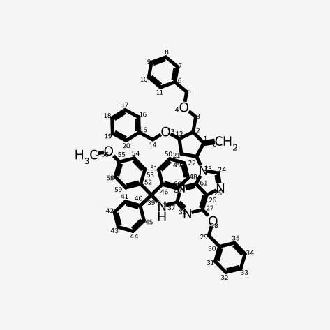 C=C1C(COCc2ccccc2)C(OCc2ccccc2)CC1n1cnc2c(OCc3ccccc3)nc(NC(c3ccccc3)(c3ccccc3)c3ccc(OC)cc3)nc21